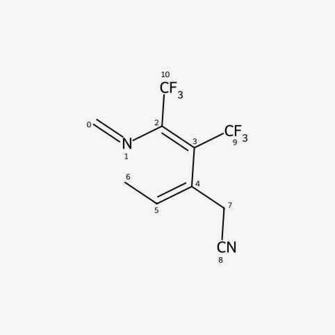 C=N/C(=C(\C(=C/C)CC#N)C(F)(F)F)C(F)(F)F